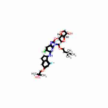 CC(C)(O)COc1cc(F)c2c(c1)CCC2Nc1nc2c(cc1Cl)nc(O[C@@H]1CO[C@H]3[C@@H]1OC[C@H]3O)n2COCC[Si](C)(C)C